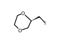 IC[C@H]1COCCO1